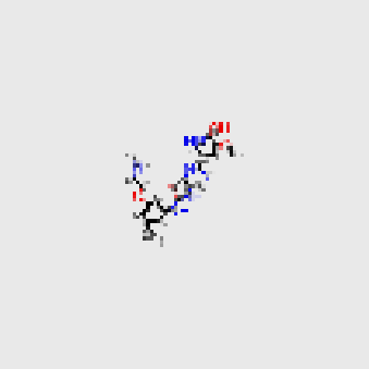 CCOC1=CC(c2ncc(NC(=O)Nc3cc(OCCN(C)C)cc(C(F)(F)F)c3)cn2)=CNC1O